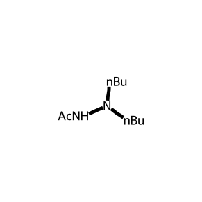 [CH2]C(=O)NN(CCCC)CCCC